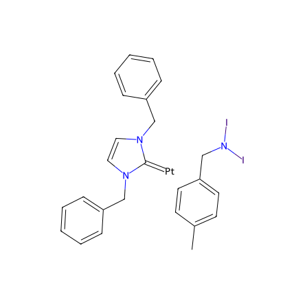 Cc1ccc(CN(I)I)cc1.[Pt]=[c]1n(Cc2ccccc2)ccn1Cc1ccccc1